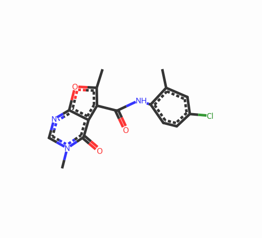 Cc1cc(Cl)ccc1NC(=O)c1c(C)oc2ncn(C)c(=O)c12